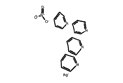 O=[N+]([O-])[O-].[Ag+].c1ccncc1.c1ccncc1.c1ccncc1.c1ccncc1